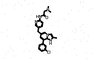 CC1=CN2C=C(Cc3ccc(NC(=O)CN(C)C)nc3)C=C(c3cccc(Cl)c3)C2N1